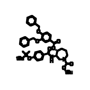 CC(C)(C)OC(=O)N1CCC[C@@H](OC(=O)c2ccc(OCc3ccccc3)c(OCc3ccccc3)c2)[C@H](NC(=O)c2ccc(O[Si](C)(C)C(C)(C)C)cc2)C1